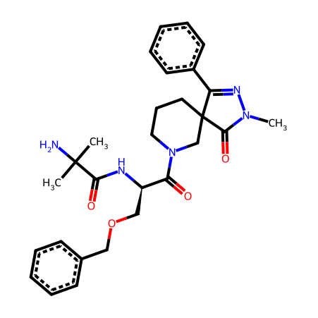 CN1N=C(c2ccccc2)C2(CCCN(C(=O)[C@@H](COCc3ccccc3)NC(=O)C(C)(C)N)C2)C1=O